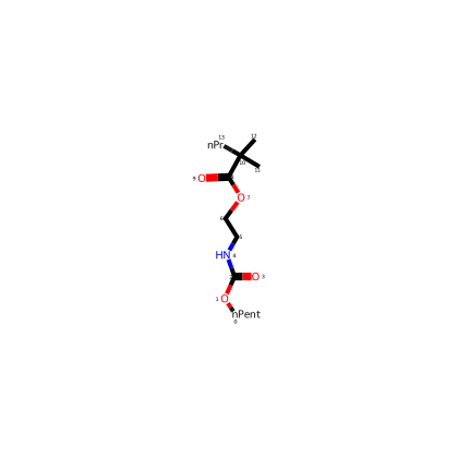 CCCCCOC(=O)NCCOC(=O)C(C)(C)CCC